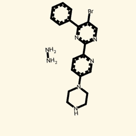 Brc1cnc(-c2ccc(N3CCNCC3)cn2)nc1-c1ccccc1.NN